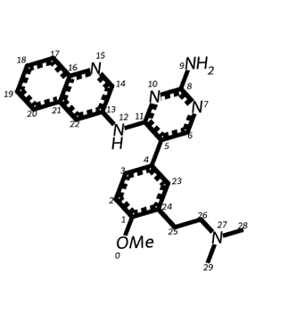 COc1ccc(-c2cnc(N)nc2Nc2cnc3ccccc3c2)cc1CCN(C)C